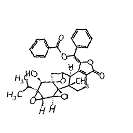 CC(C)[C@]12O[C@H]1[C@@H]1O[C@@]13[C@@]1(C)CCC4=C(/C(=C(\OC(=O)c5ccccc5)c5ccccc5)OC4=O)[C@@H]1C1C[C@@]3(O1)[C@@H]2O